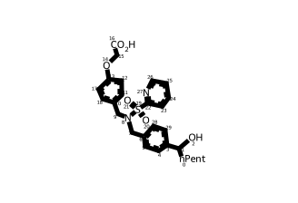 CCCCCC(O)c1ccc(CN(Cc2ccc(OCC(=O)O)cc2)S(=O)(=O)c2ccccn2)cc1